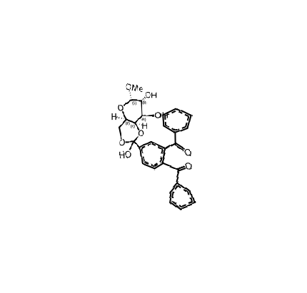 CO[C@H]1O[C@@H]2COC(O)(c3ccc(C(=O)c4ccccc4)c(C(=O)c4ccccc4)c3)O[C@@H]2[C@H](O)[C@H]1O